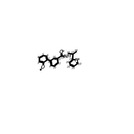 COc1ccccc1-c1cccc(C(=O)NCC(C)c2ccccn2)c1